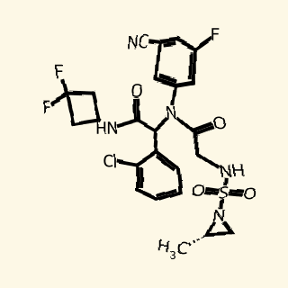 C[C@H]1CN1S(=O)(=O)NCC(=O)N(c1cc(F)cc(C#N)c1)C(C(=O)NC1CC(F)(F)C1)c1ccccc1Cl